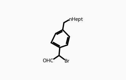 CCCCCCCCc1ccc(C(Br)C=O)cc1